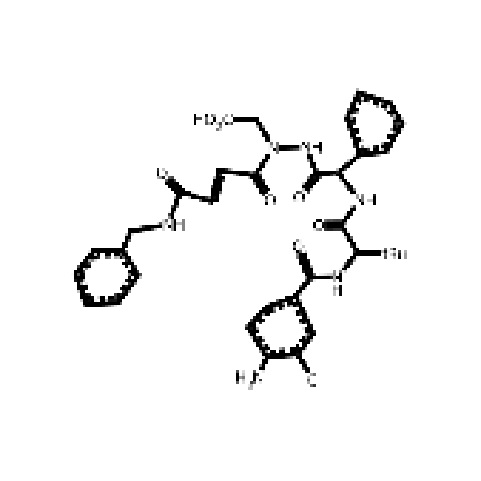 CC(C)(C)C(NC(=O)c1ccc(N)c(Cl)c1)C(=O)NC(C(=O)NN(CC(=O)O)C(=O)/C=C/C(=O)NCc1ccccc1)c1ccccc1